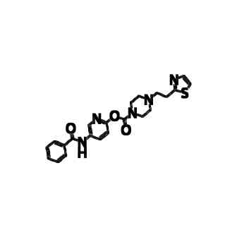 O=C(Nc1ccc(OC(=O)N2CCN(CCc3nccs3)CC2)nc1)c1ccccc1